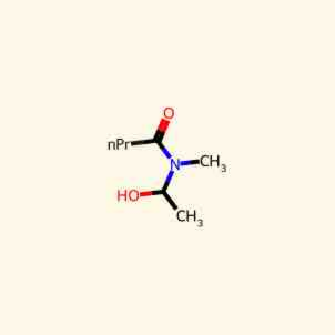 CCCC(=O)N(C)C(C)O